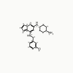 N[C@H]1CC[C@H](Nc2cc(NCc3cccc(Cl)c3)c3nccn3n2)CC1